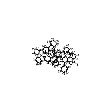 Cc1cc(C)c(-c2c(C)c(-c3ccccc3)c(C)c(-c3ccccc3)c2C)c(C)c1-c1ccc2c(c1)C1(c3ccccc3-2)c2ccccc2-c2cc3c4ccccc4n(-c4nc(-c5ccccc5)nc(-c5ccccc5)n4)c3cc21